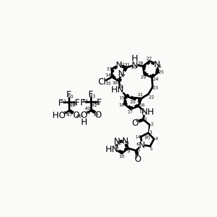 O=C(C[C@H]1CCN(C(=O)c2c[nH]nn2)C1)Nc1ccc2cc1CCc1cncc(c1)Nc1ncc(Cl)c(n1)N2.O=C(O)C(F)(F)F.O=C(O)C(F)(F)F